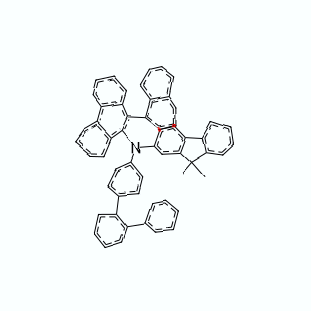 CC1(C)c2ccccc2-c2ccc(N(c3ccc(-c4ccccc4-c4ccccc4)cc3)c3c(-c4cccc5ccccc45)c4ccccc4c4ccccc34)cc21